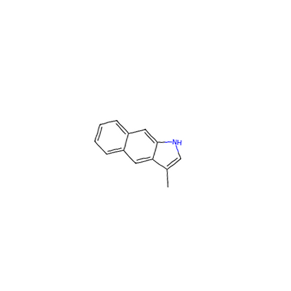 Cc1c[nH]c2cc3ccccc3cc12